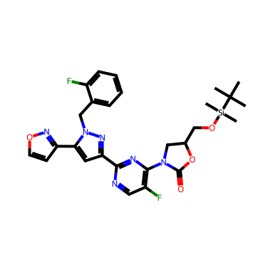 CC(C)(C)[Si](C)(C)OCC1CN(c2nc(-c3cc(-c4ccon4)n(Cc4ccccc4F)n3)ncc2F)C(=O)O1